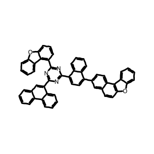 c1ccc2c(c1)cc(-c1nc(-c3ccc(-c4ccc5c(ccc6oc7ccccc7c65)c4)c4ccccc34)nc(-c3cccc4oc5ccccc5c34)n1)c1ccccc12